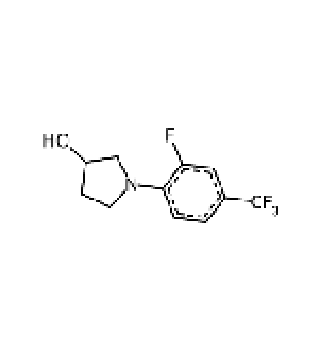 OC1CCN(c2ccc(C(F)(F)F)cc2F)C1